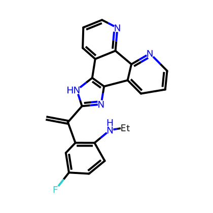 C=C(c1nc2c3cccnc3c3ncccc3c2[nH]1)c1cc(F)ccc1NCC